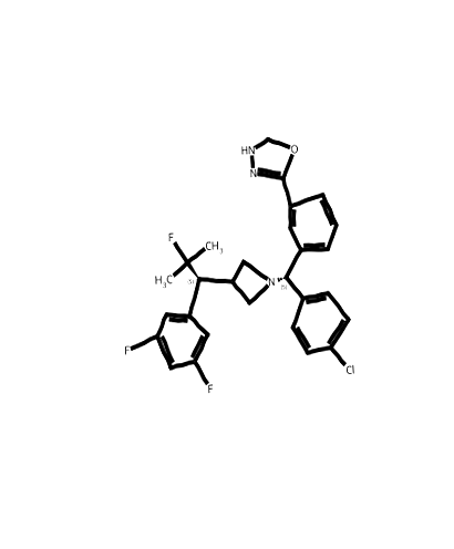 CC(C)(F)[C@H](c1cc(F)cc(F)c1)C1CN([C@@H](c2ccc(Cl)cc2)c2cccc(C3=NNCO3)c2)C1